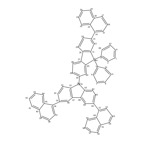 c1ccc([Si]2(c3ccccc3)c3cc(-c4cccc5ccccc45)ccc3-c3ccc(-n4c5ccc(-c6cccc7ccccc67)cc5c5cc(-c6cccc7ccccc67)ccc54)cc32)cc1